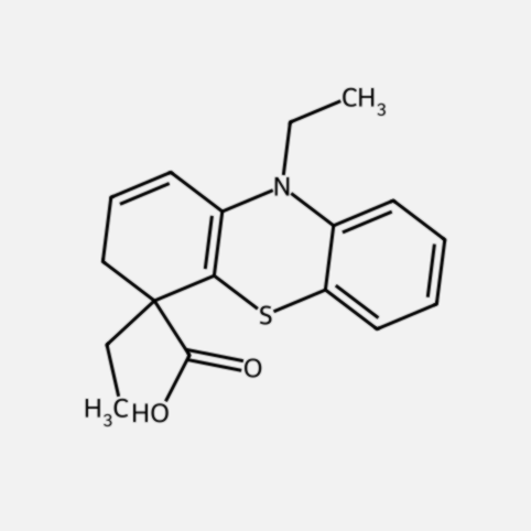 CCN1C2=C(Sc3ccccc31)C(CC)(C(=O)O)CC=C2